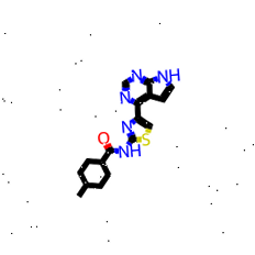 CC1CCC(C(=O)Nc2nc(-c3ncnc4[nH]ccc34)cs2)CC1